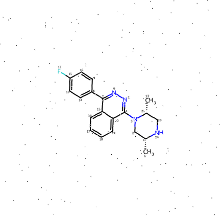 C[C@@H]1CN(c2nnc(-c3ccc(F)cc3)c3ccccc23)[C@H](C)CN1